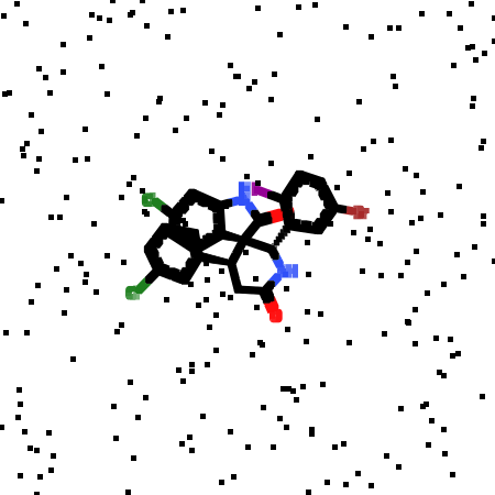 O=C1C[C@@H](c2cccc(Cl)c2)[C@]2(C(=O)Nc3cc(Cl)ccc32)[C@H](c2cc(Br)ccc2I)N1